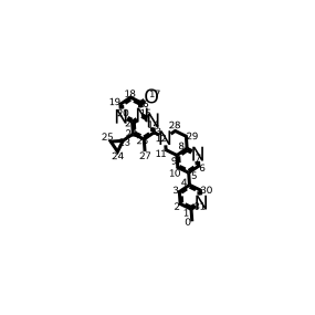 Cc1ccc(-c2cnc3c(c2)CN(c2nn4c(=O)ccnc4c(C4CC4)c2C)CC3)cn1